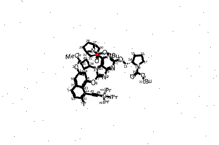 COCOc1cc(Oc2nc3nc(OC[C@@H]4CCCN4C(=O)OC(C)(C)C)nc(N4CC5CCC(C4)N5C(=O)OC(C)(C)C)c3n2C2CCC2)c2c(C#C[Si](C(C)C)(C(C)C)C(C)C)c(F)ccc2c1